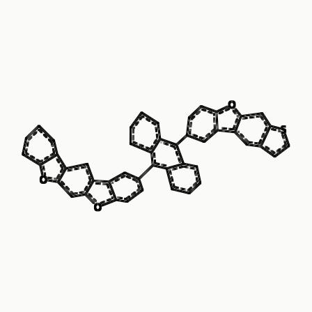 c1ccc2c(c1)oc1cc3oc4ccc(-c5c6ccccc6c(-c6ccc7oc8cc9sccc9cc8c7c6)c6ccccc56)cc4c3cc12